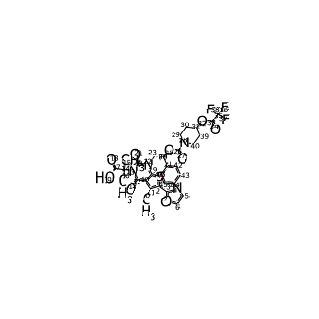 Cc1c(-c2ncco2)sc2c1c(=O)n(C(C)(C)C(=O)O)c(=O)n2C[C@H](OC(=O)N1CCC(OC(=O)C(F)(F)F)CC1)c1ccccc1